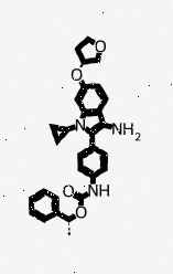 C[C@@H](OC(=O)Nc1ccc(-c2c(N)c3ccc(O[C@@H]4CCOC4)cc3n2C2CC2)cc1)c1ccccc1